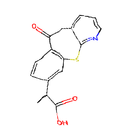 CC(C(=O)O)c1ccc2c(c1)Sc1ncccc1CC2=O